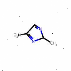 C[C]1N=CC([N+](=O)[O-])=N1